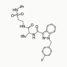 CC(C)NS(=O)(=O)CCNC(=O)C(NC(=O)c1nn(Cc2ccc(F)cc2)c2ccccc12)C(C)(C)C